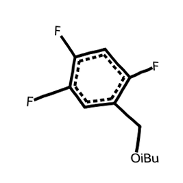 CC(C)COCc1cc(F)c(F)cc1F